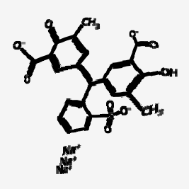 CC1=C/C(=C(\c2cc(C)c(O)c(C(=O)[O-])c2)c2ccccc2S(=O)(=O)[O-])C=C(C(=O)[O-])C1=O.[Na+].[Na+].[Na+]